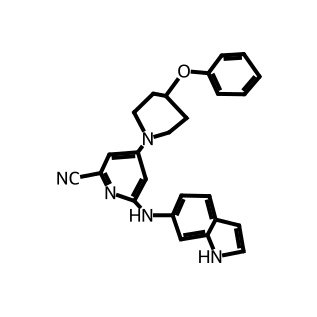 N#Cc1cc(N2CCC(Oc3ccccc3)CC2)cc(Nc2ccc3cc[nH]c3c2)n1